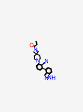 C=CC(=O)N1CC2(CCN(c3cccc(-c4cccc5[nH]ncc45)c3C#N)CC2)C1